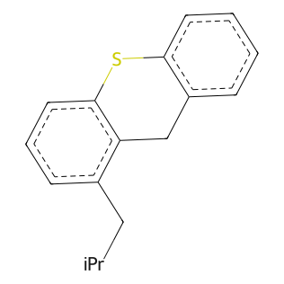 CC(C)Cc1cccc2c1Cc1ccccc1S2